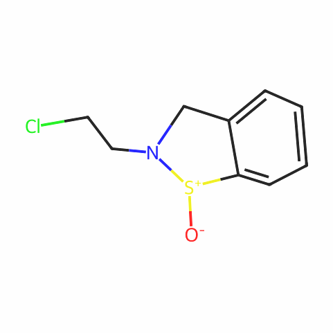 [O-][S+]1c2ccccc2CN1CCCl